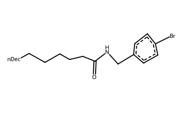 CCCCCCCCCCCCCCCC(=O)NCc1ccc(Br)cc1